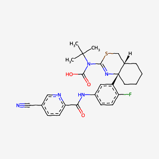 CC(C)(C)N(C(=O)O)C1=N[C@@]2(c3cc(NC(=O)c4ccc(C#N)cn4)ccc3F)CCCC[C@H]2CS1